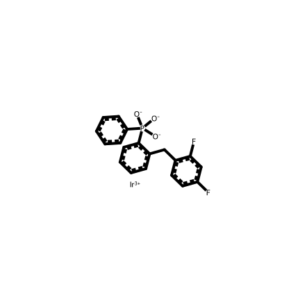 [Ir+3].[O-]P([O-])([O-])(c1ccccc1)c1ccccc1Cc1ccc(F)cc1F